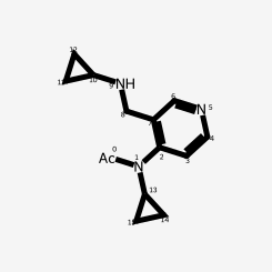 CC(=O)N(c1ccncc1CNC1CC1)C1CC1